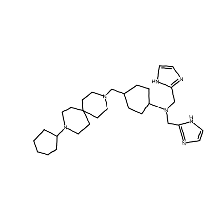 c1c[nH]c(CN(Cc2ncc[nH]2)C2CCC(CN3CCC4(CC3)CCN(C3CCCCC3)CC4)CC2)n1